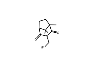 CC(C)CN1C(=O)C2CCC(C)(C1=O)C2(C)C